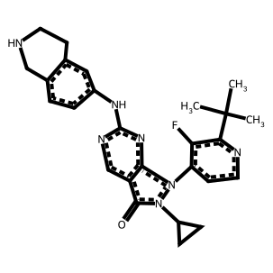 CC(C)(C)c1nccc(-n2c3nc(Nc4ccc5c(c4)CCNC5)ncc3c(=O)n2C2CC2)c1F